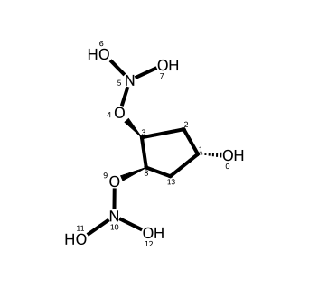 O[C@H]1C[C@H](ON(O)O)[C@H](ON(O)O)C1